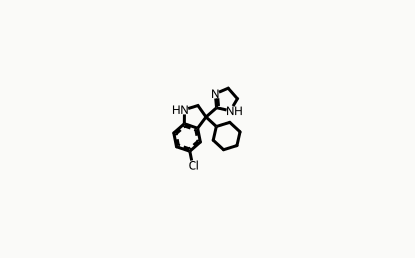 Clc1ccc2c(c1)C(C1=NCCN1)(C1CCCCC1)CN2